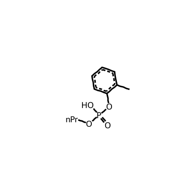 CCCOP(=O)(O)Oc1ccccc1C